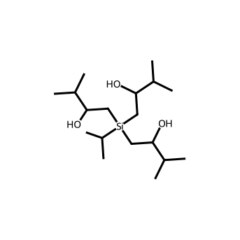 CC(C)C(O)C[Si](CC(O)C(C)C)(CC(O)C(C)C)C(C)C